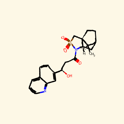 CC1(C)C2CC[C@@]13CS(=O)(=O)N(C(=O)C[C@@H](O)c1ccc4cccnc4c1)[C@H]3C2